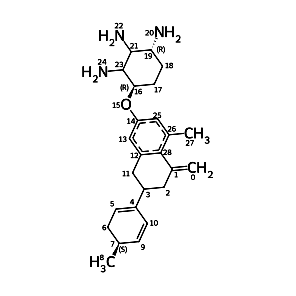 C=C1CC(C2=CC[C@H](C)C=C2)Cc2cc(O[C@@H]3CC[C@@H](N)C(N)C3N)cc(C)c21